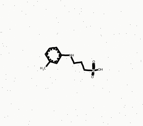 Cc1cccc(NCCCS(=O)(=O)O)c1